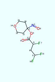 O=NC1(OC(=O)C(F)CC(F)F)CCOCC1